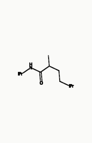 CC(C)CCC(C)C(=O)NC(C)C